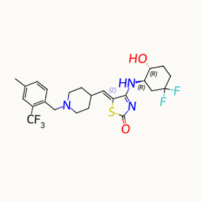 Cc1ccc(CN2CCC(/C=C3\SC(=O)N=C3N[C@@H]3CC(F)(F)CC[C@H]3O)CC2)c(C(F)(F)F)c1